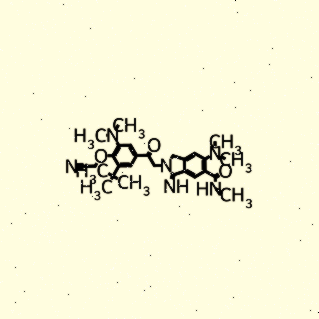 CNC(=O)c1cc2c(cc1N(C)C)CN(CC(=O)c1cc(N(C)C)c(OCC#N)c(C(C)(C)C)c1)C2=N